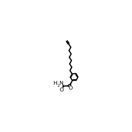 C#CCCCCCCCCc1cccc(C2OC2C(N)=O)c1